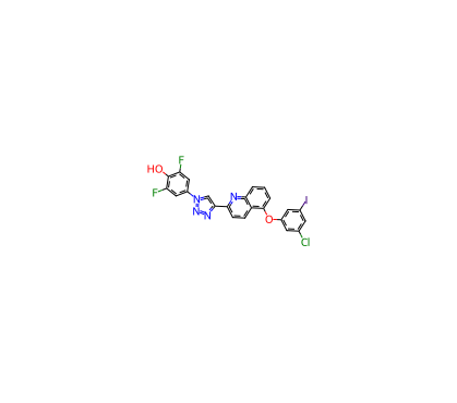 Oc1c(F)cc(-n2cc(-c3ccc4c(Oc5cc(Cl)cc(I)c5)cccc4n3)nn2)cc1F